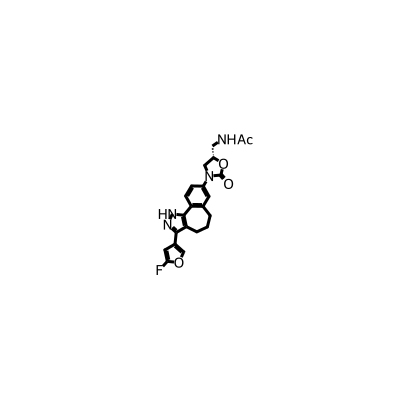 CC(=O)NC[C@H]1CN(c2ccc3c(c2)CCCc2c(-c4coc(F)c4)n[nH]c2-3)C(=O)O1